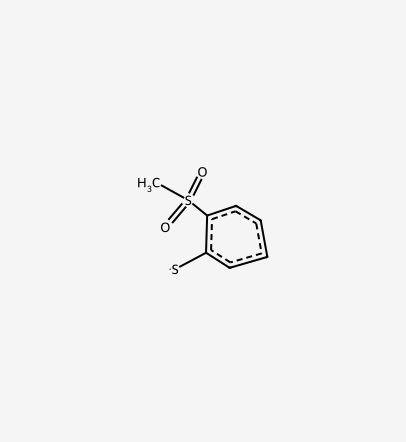 CS(=O)(=O)c1ccccc1[S]